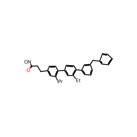 CCc1cc(-c2ccc(CCC(=O)N=O)cc2C(C)C)ccc1-c1cccc(Cc2ccccc2)c1